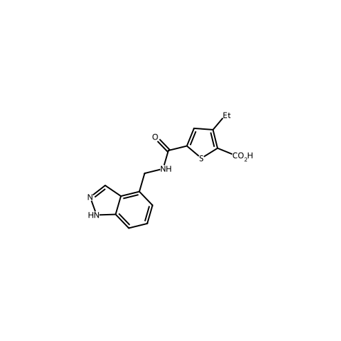 CCc1cc(C(=O)NCc2cccc3[nH]ncc23)sc1C(=O)O